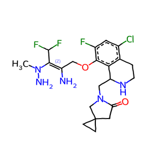 CN(N)/C(=C(\N)COc1c(F)cc(Cl)c2c1C(CN1CC3(CC3)CC1=O)NCC2)C(F)F